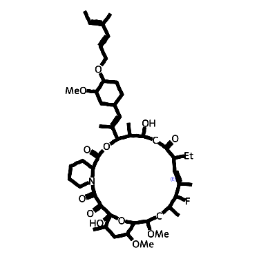 CC=C(C)C=CCOC1CCC(C=C(C)C2OC(=O)C3CCCCN3C(=O)C(=O)C3(O)OC(C(OC)CC(C)C(F)/C(C)=C/C(CC)C(=O)CC(O)C2C)C(OC)CC3C)CC1OC